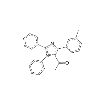 CC(=O)c1c(-c2cccc(C)c2)nc(-c2ccccc2)n1-c1ccccc1